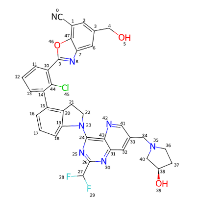 N#Cc1cc(CO)cc2nc(-c3cccc(-c4cccc5c4CCN5c4nc(C(F)F)nc5cc(CN6CC[C@@H](O)C6)cnc45)c3Cl)oc12